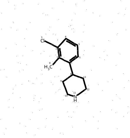 Cc1c(Cl)cccc1C1CCNCC1